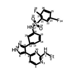 CCNc1nccc(-c2c[nH]nc2-c2cccc(NS(=O)(=O)c3cc(F)ccc3F)c2)n1